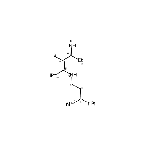 CCCC(CCC)CCN/C(=C(/C)C(=N)CC)C(C)C